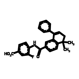 CC1(C)CC=C(c2ccccc2)c2cc(C(=O)Nc3ccc(C(=O)O)cc3F)ccc21